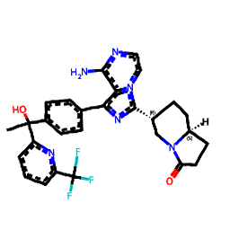 CC(O)(c1ccc(-c2nc([C@@H]3CC[C@H]4CCC(=O)N4C3)n3ccnc(N)c23)cc1)c1cccc(C(F)(F)F)n1